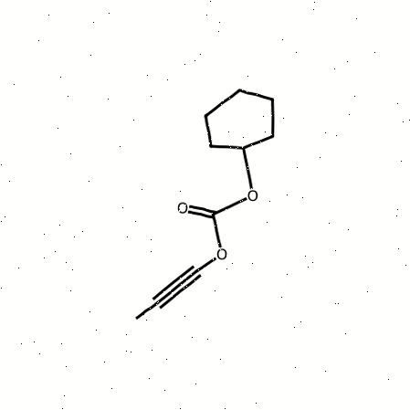 CC#COC(=O)OC1CCCCC1